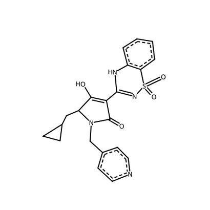 O=C1C(C2=NS(=O)(=O)c3ccccc3N2)=C(O)C(CC2CC2)N1Cc1ccncc1